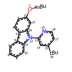 CCCCOc1ccc2c3ccccc3n(-c3cc(C(C)(C)C)ccn3)c2c1